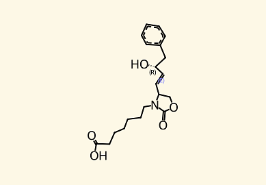 O=C(O)CCCCCCN1C(=O)OCC1/C=C/[C@H](O)Cc1ccccc1